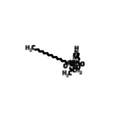 CCCCCCCCCCCCCCCC(=O)N[C@@H](CC(C)C)C(=O)N[C@@H](Cc1c[nH]cn1)C(=O)O